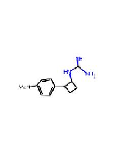 CNc1ccc(C2CCC2NC(=N)N)cc1